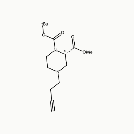 C#CCCN1CCN(C(=O)OC(C)(C)C)[C@H](C(=O)OC)C1